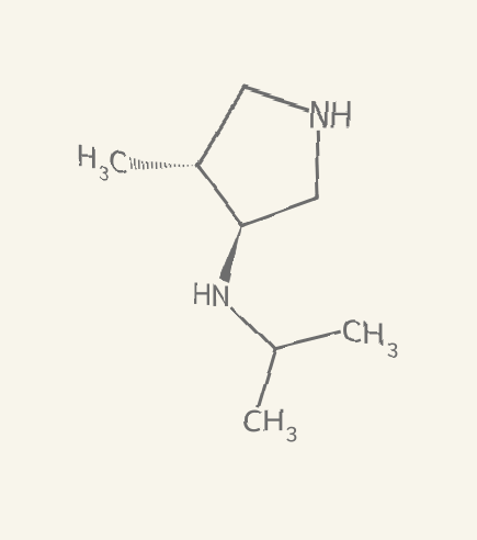 CC(C)N[C@@H]1CNC[C@H]1C